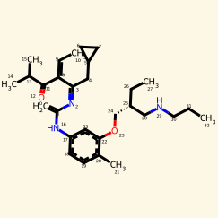 C=C(/N=C(CC1CC1)\C(=C/C)C(=O)C(C)C)Nc1ccc(C)c(OC[C@H](CC)CNCCC)c1